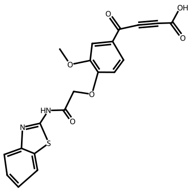 COc1cc(C(=O)C#CC(=O)O)ccc1OCC(=O)Nc1nc2ccccc2s1